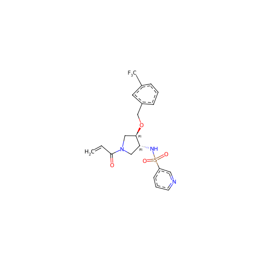 C=CC(=O)N1C[C@@H](NS(=O)(=O)c2cccnc2)[C@H](OCc2cccc(C(F)(F)F)c2)C1